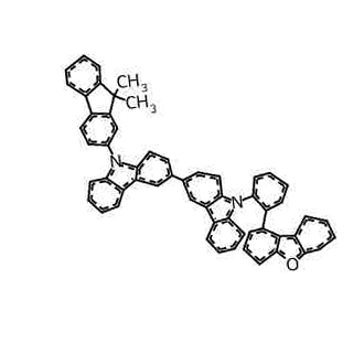 CC1(C)c2ccccc2-c2ccc(-n3c4ccccc4c4cc(-c5ccc6c(c5)c5ccccc5n6-c5ccccc5-c5cccc6oc7ccccc7c56)ccc43)cc21